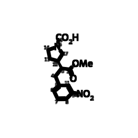 COC(=O)C(Cc1cccc([N+](=O)[O-])c1)[C@H]1CCN(C(=O)O)C1